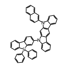 c1ccc([Si]2(c3ccccc3)c3ccccc3-c3ccc(-n4c5ccccc5c5cc6c7ccccc7n(-c7ccc8ccccc8c7)c6cc54)cc32)cc1